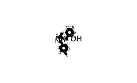 Cc1ccc(-c2ncc(C)n2Cc2ccccc2O)cc1